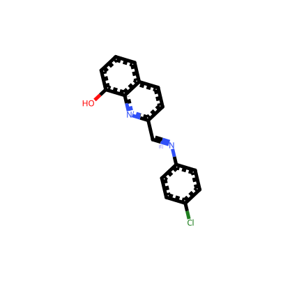 Oc1cccc2ccc(/C=N/c3ccc(Cl)cc3)nc12